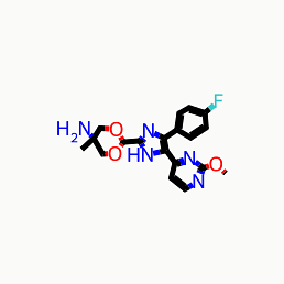 COc1nccc(-c2[nH]c(C3OCC(C)(N)CO3)nc2-c2ccc(F)cc2)n1